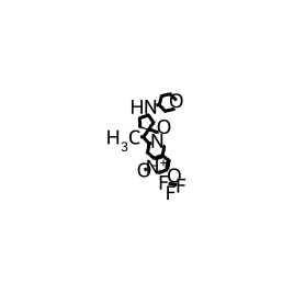 CC1C2Cc3c(cc(OC(F)(F)F)c[n+]3[O-])CN2C(=O)[C@]12CC[C@@H](NC1CCOCC1)C2